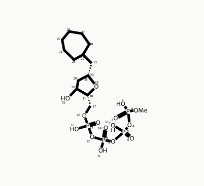 COP(=O)(O)OP(=O)(O)OP(=O)(O)OP(=O)(O)OC[C@H]1O[C@@H](CC2CCCCCC2)CC1O